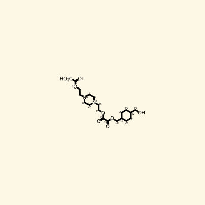 O=C(O)C(=O)OCCN1CCN(CCOC(=O)C(=O)OCC2CCC(CO)CC2)CC1